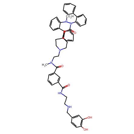 CN(CCN1CCC(OC(=O)N(c2ccccc2-c2ccccc2)N(C(=O)O)c2ccccc2-c2ccccc2)CC1)C(=O)c1cccc(C(=O)NCCNCc2ccc(O)c(O)c2)c1